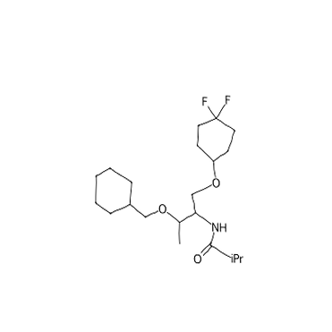 CC(C)C(=O)NC(COC1CCC(F)(F)CC1)C(C)OCC1CCCCC1